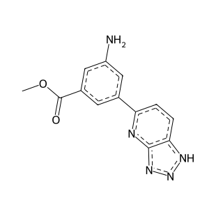 COC(=O)c1cc(N)cc(-c2ccc3[nH]nnc3n2)c1